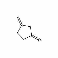 C=C1CCC(=O)C1